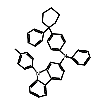 Cc1ccc(-n2c3ccccc3c3ccc(N(c4ccccc4)c4ccc(C5(c6ccccc6)CCCCC5)cc4)cc32)cc1